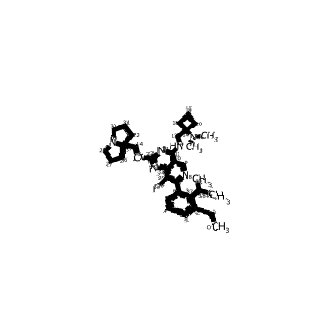 CCc1cccc(-c2ncc3c(NCC4(N(C)C)CCC4)nc(OCC45CCCN4CCC5)nc3c2F)c1C(C)C